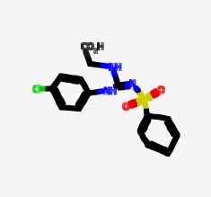 O=C(O)CNC(=NS(=O)(=O)c1ccccc1)Nc1ccc(Cl)cc1